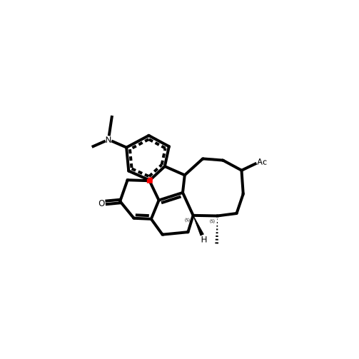 CC(=O)C1CCC(c2ccc(N(C)C)cc2)C2=C3CCC(=O)C=C3CC[C@H]2[C@@H](C)CC1